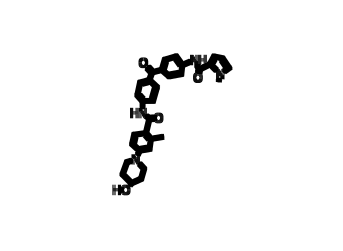 Cc1cc(N2CCC(O)CC2)ccc1C(=O)Nc1ccc(C(=O)c2ccc(NC(=O)c3cccn3C)cc2)cc1